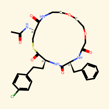 CC(=O)N[C@H]1CSC(=O)[C@H](CCc2ccc(Cl)cc2)NC(=O)[C@H](Cc2ccccc2)NC(=O)COCCOCCNC1=O